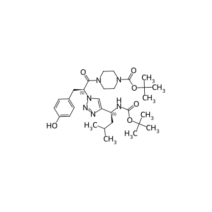 CC(C)C[C@H](NC(=O)OC(C)(C)C)c1cn([C@@H](Cc2ccc(O)cc2)C(=O)N2CCN(C(=O)OC(C)(C)C)CC2)nn1